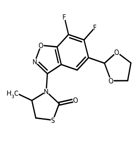 CC1CSC(=O)N1c1noc2c(F)c(F)c(C3OCCO3)cc12